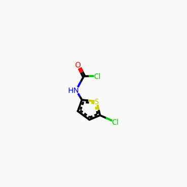 O=C(Cl)Nc1ccc(Cl)s1